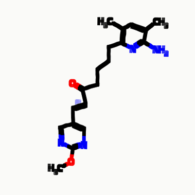 COc1ncc(/C=C/C(=O)CCCCc2nc(N)c(C)cc2C)cn1